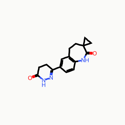 O=C1CCC(c2ccc3c(c2)CCC2(CC2)C(=O)N3)=NN1